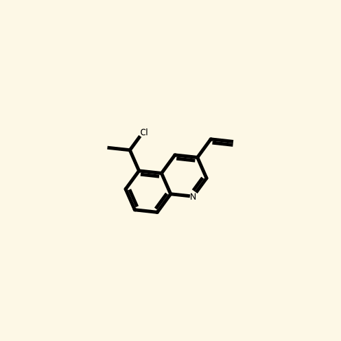 C=Cc1cnc2cccc(C(C)Cl)c2c1